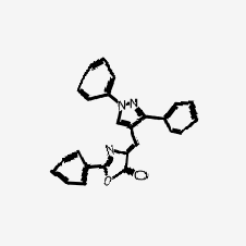 O=C1OC(c2ccccc2)=N/C1=C\c1cn(-c2ccccc2)nc1-c1ccccc1